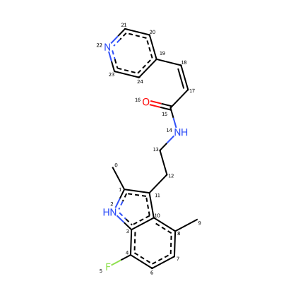 Cc1[nH]c2c(F)ccc(C)c2c1CCNC(=O)/C=C\c1ccncc1